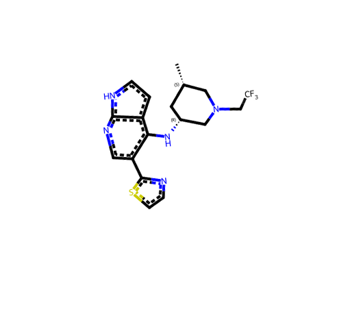 C[C@H]1C[C@@H](Nc2c(-c3nccs3)cnc3[nH]ccc23)CN(CC(F)(F)F)C1